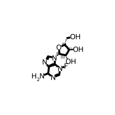 NC1N=CN(F)c2c1ncn2[C@@H]1O[C@H](CO)[C@@H](O)[C@@H]1O